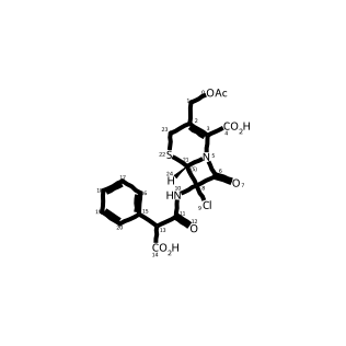 CC(=O)OCC1=C(C(=O)O)N2C(=O)C(Cl)(NC(=O)C(C(=O)O)c3ccccc3)[C@@H]2SC1